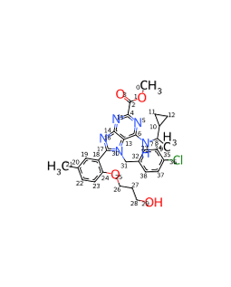 COC(=O)c1nc(NC(C)C2CC2)c2c(n1)nc(-c1cc(C)ccc1OCCCO)n2Cc1ccc(Cl)cc1